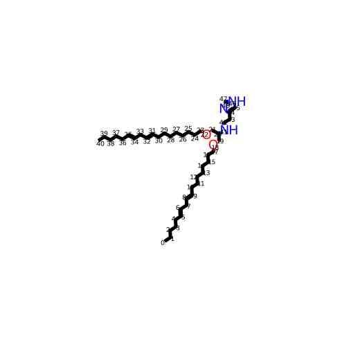 CCCCCC=CCC=CCCCCCCCCOCC(COCCCCCCCCC=CCC=CCCCCC)NCCc1c[nH]cn1